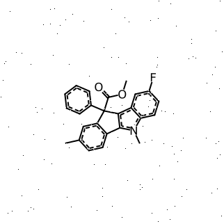 COC(=O)C1(c2ccccc2)c2cc(C)ccc2-c2c1c1cc(F)ccc1n2C